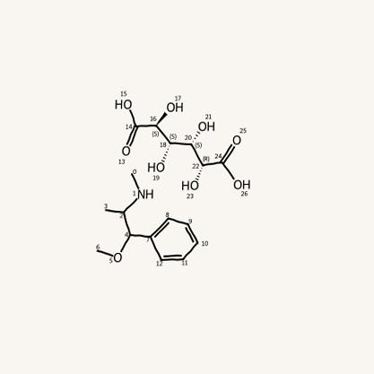 CNC(C)C(OC)c1ccccc1.O=C(O)[C@@H](O)[C@@H](O)[C@H](O)[C@@H](O)C(=O)O